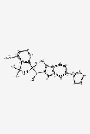 [2H]n1c([S+]([O-])C([2H])([2H])c2nccc(OC)c2C([2H])([2H])[2H])nc2cc(-n3cccc3)ccc21